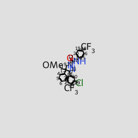 COCC1(c2ccccc2)CN(C(=O)Nc2ccc(C(F)(F)F)cc2)N=C1c1ccc(C(F)(F)F)c(Cl)c1